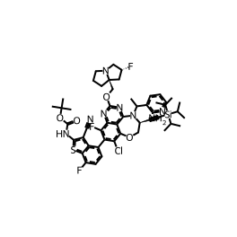 CC(c1cccnc1N)N1c2nc(OC[C@@]34CCCN3C[C@H](F)C4)nc3c(F)c(-c4ccc(F)c5sc(NC(=O)OC(C)(C)C)c(C#N)c45)c(Cl)c(c23)OC[C@@H]1C#C[Si](C(C)C)(C(C)C)C(C)C